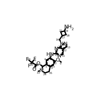 COc1cc2c(cc1Nc1ncc3cnn(CC4CC(N)C4)c3n1)C(OC(=O)C(F)(F)F)N(C)CC2